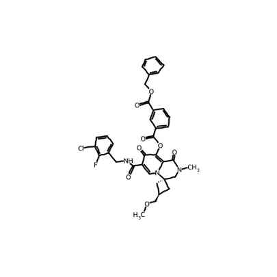 COC[C@H]1C[C@]2(CN(C)C(=O)c3c(OC(=O)c4cccc(C(=O)OCc5ccccc5)c4)c(=O)c(C(=O)NCc4cccc(Cl)c4F)cn32)C1